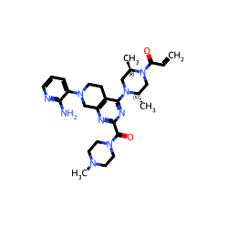 C=CC(=O)N1C[C@H](C)N(c2nc(C(=O)N3CCN(C)CC3)nc3c2CCN(c2cccnc2N)C3)C[C@H]1C